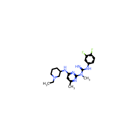 CCN1CCCC(Nc2cc(C)nc(N(C)C(=N)Nc3ccc(F)c(F)c3)n2)C1